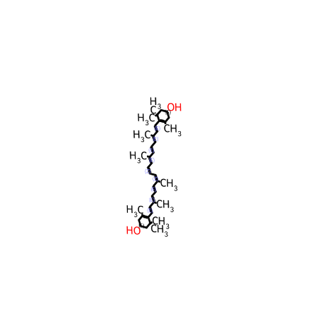 CC1=C(/C=C/C(C)=C/C=C/C(C)=C\C=C/C=C(C)/C=C/C=C(C)/C=C/C2=C(C)C[C@@H](O)CC2(C)C)C(C)(C)C[C@H](O)C1